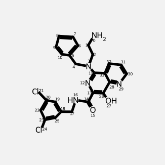 NCCN(Cc1ccccc1)c1nc(C(=O)NCc2cc(Cl)cc(Cl)c2)c(O)c2ncccc12